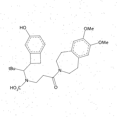 COc1cc2c(cc1OC)CCN(C(=O)CCN(C(=O)O)C(C1Cc3ccc(O)cc31)C(C)(C)C)CC2